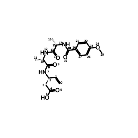 C=C[C@H](CC(=O)O)NC(=O)[C@H](C)NC(=O)[C@H](C)NC(=O)c1ccc(OC)cc1